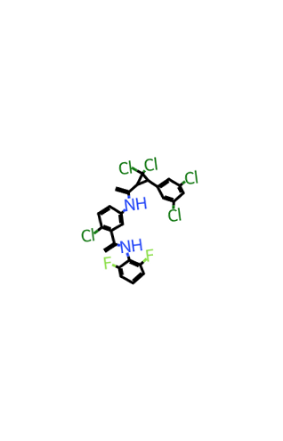 C=C(Nc1c(F)cccc1F)c1cc(NC(=C)C2C(c3cc(Cl)cc(Cl)c3)C2(Cl)Cl)ccc1Cl